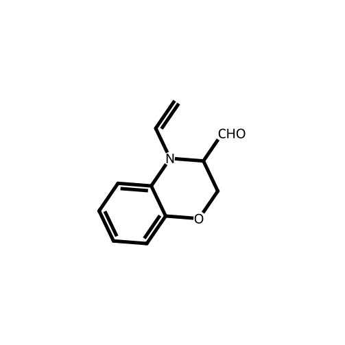 C=CN1c2ccccc2OCC1C=O